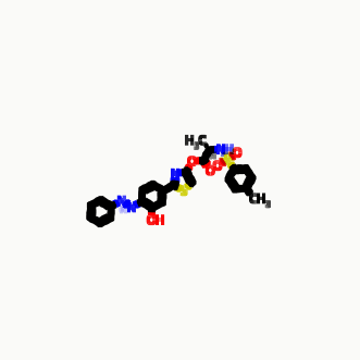 Cc1ccc(S(=O)(=O)N[C@@H](C)C(=O)Oc2csc(-c3ccc(/N=N/c4ccccc4)c(O)c3)n2)cc1